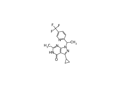 Cc1nc2c(c(C3CC3)nn2C(C)c2ccc(C(F)(F)F)cn2)c(=O)[nH]1